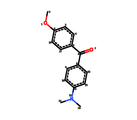 COc1ccc(C(=O)c2ccc(N(C)C)cc2)cc1